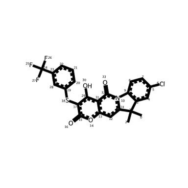 CC1(C)c2cc(Cl)ccc2-n2c1cc1oc(=O)c(Sc3cccc(C(F)(F)F)c3)c(O)c1c2=O